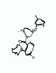 Cc1ccnc(O[C@@H]2CC[C@@H](C)N(C(=O)c3ccc(Cl)cc3-n3nccn3)C2)c1